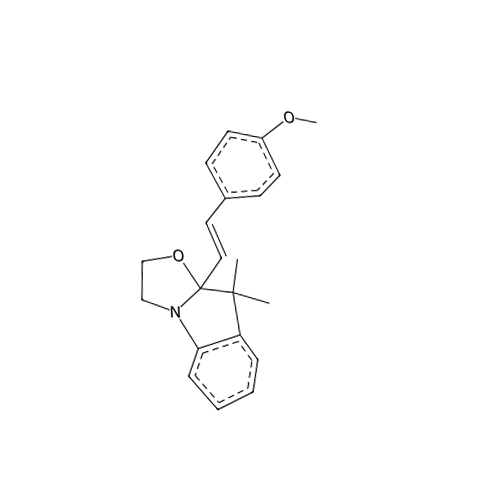 COc1ccc(/C=C/C23OCCN2c2ccccc2C3(C)C)cc1